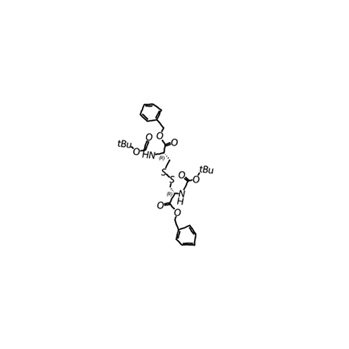 CC(C)(C)OC(=O)N[C@@H](CSSC[C@H](NC(=O)OC(C)(C)C)C(=O)OCc1ccccc1)C(=O)OCc1ccccc1